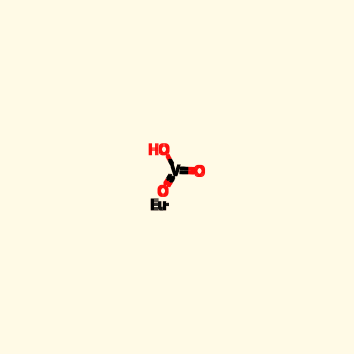 [Eu].[O]=[V](=[O])[OH]